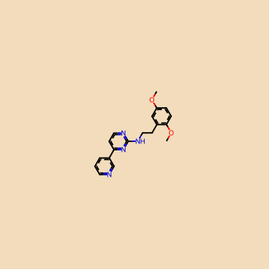 COc1ccc(OC)c(CCNc2nccc(-c3cccnc3)n2)c1